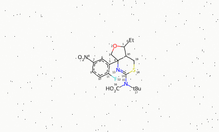 CCC1OCC2(c3cc([N+](=O)[O-])ccc3F)N=C(N(C(=O)O)C(C)(C)C)SCC12